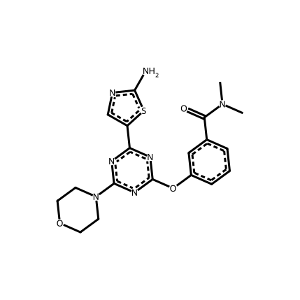 CN(C)C(=O)c1cccc(Oc2nc(-c3cnc(N)s3)nc(N3CCOCC3)n2)c1